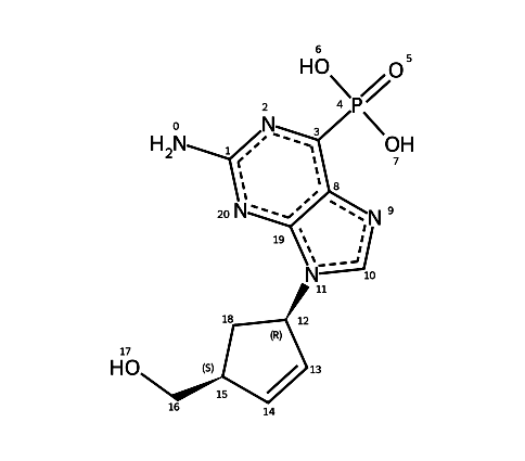 Nc1nc(P(=O)(O)O)c2ncn([C@H]3C=C[C@@H](CO)C3)c2n1